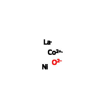 [Co+2].[La].[Ni].[O-2]